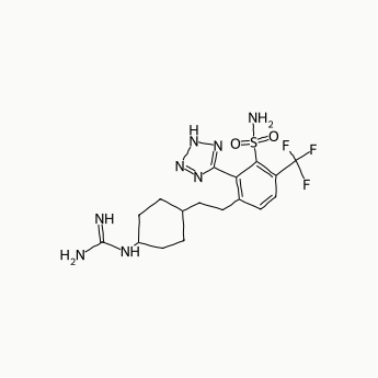 N=C(N)NC1CCC(CCc2ccc(C(F)(F)F)c(S(N)(=O)=O)c2-c2nn[nH]n2)CC1